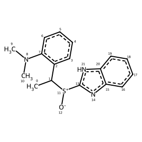 CC(c1ccccc1N(C)C)[S+]([O-])c1nc2ccccc2[nH]1